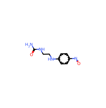 NC(=O)NCCNc1ccc(N=O)cc1